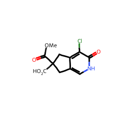 COC(=O)C1(C(=O)O)Cc2c[nH]c(=O)c(Cl)c2C1